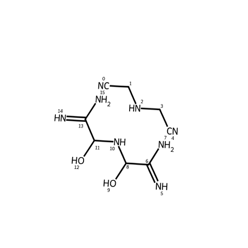 N#CCNCC#N.N=C(N)C(O)NC(O)C(=N)N